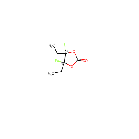 CC[C@@]1(F)OC(=O)O[C@]1(F)CC